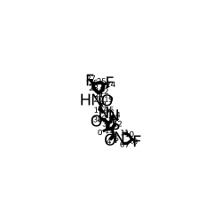 Cc1c(C(=O)N2CCC(F)CC2)sc2ncn(CC(=O)Nc3cc(F)cc(F)c3)c(=O)c12